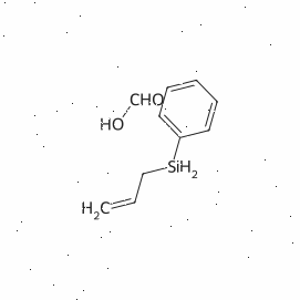 C=CC[SiH2]c1ccccc1.O=CO